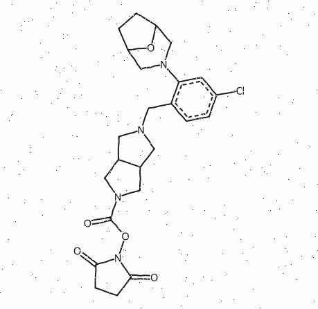 O=C(ON1C(=O)CCC1=O)N1CC2CN(Cc3ccc(Cl)cc3N3CC4CCC(C3)O4)CC2C1